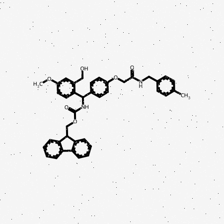 COc1ccc(C(NC(=O)OCC2c3ccccc3-c3ccccc32)c2ccc(OCC(=O)NCc3ccc(C)cc3)cc2)c(CO)c1